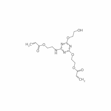 C=CC(=O)OCCNc1nc(OCCO)nc(OCCOC(=O)C=C)n1